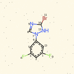 Fc1cc(F)cc(N2C=NC(Br)N2)c1